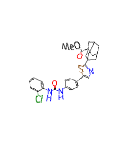 COC(=O)C12CC3CC(C1)CC(c1ncc(-c4ccc(NC(=O)Nc5ccccc5Cl)cc4)s1)(C3)C2